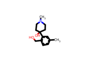 Cc1ccc(CO)c(C2(O)CCN(C)CC2)c1